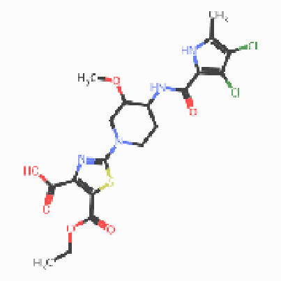 CCOC(=O)c1sc(N2CCC(NC(=O)c3[nH]c(C)c(Cl)c3Cl)C(OC)C2)nc1C(=O)O